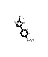 Cc1ncc(-c2ccc(C(=O)O)cn2)s1